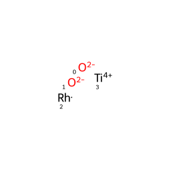 [O-2].[O-2].[Rh].[Ti+4]